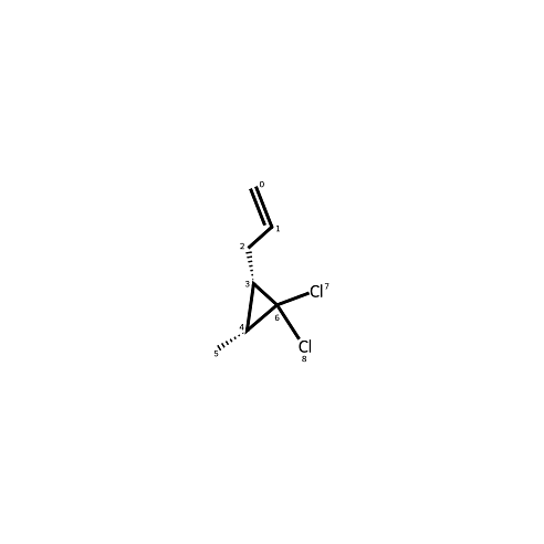 C=CC[C@H]1[C@@H](C)C1(Cl)Cl